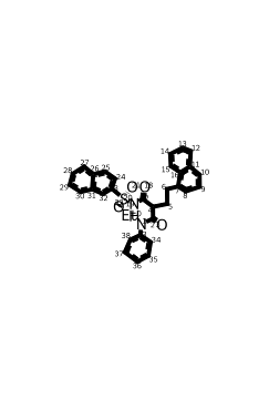 CCN(C(=O)C(CCc1cccc2ccccc12)C(=O)NS(=O)(=O)c1ccc2ccccc2c1)c1ccccc1